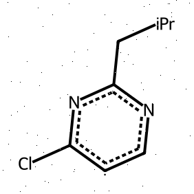 CC(C)Cc1nc[c]c(Cl)n1